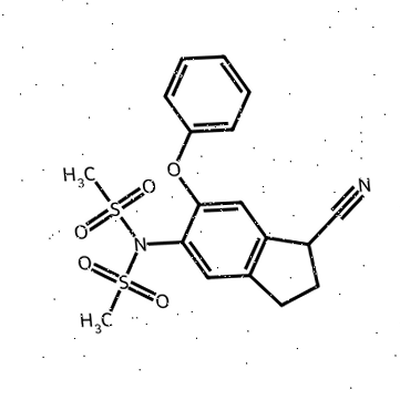 CS(=O)(=O)N(c1cc2c(cc1Oc1ccccc1)C(C#N)CC2)S(C)(=O)=O